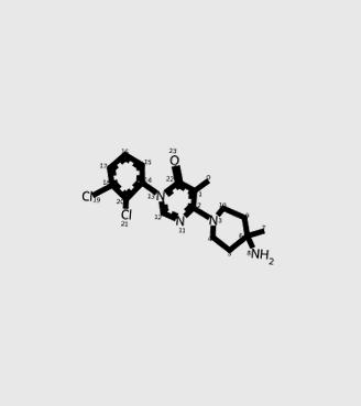 Cc1c(N2CCC(C)(N)CC2)ncn(-c2cccc(Cl)c2Cl)c1=O